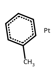 Cc1ccccc1.[Pt]